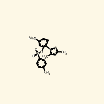 COc1ccc(-n2nc(C)cc2C)c(OS(=O)(=O)c2ccc(C)cc2)c1